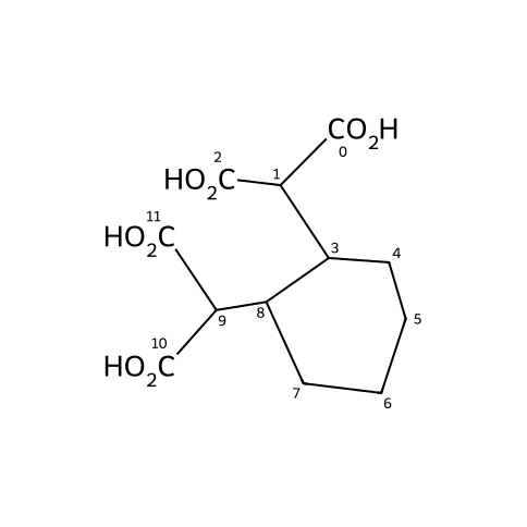 O=C(O)C(C(=O)O)C1CCCCC1C(C(=O)O)C(=O)O